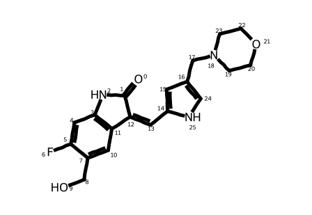 O=C1Nc2cc(F)c(CO)cc2C1=Cc1cc(CN2CCOCC2)c[nH]1